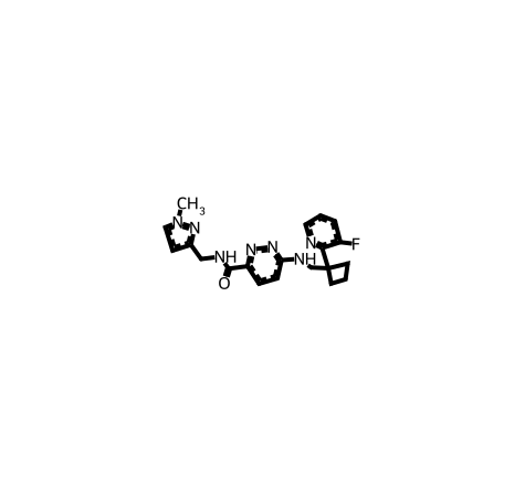 Cn1ccc(CNC(=O)c2ccc(NCC3(c4ncccc4F)CCC3)nn2)n1